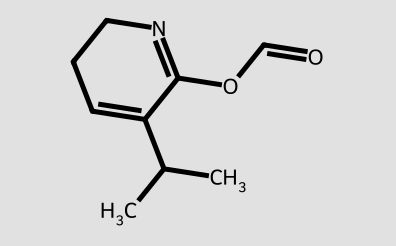 CC(C)C1=CCCN=C1OC=O